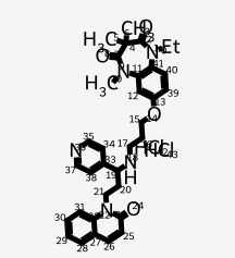 CCN1C(=O)C(C)(C)C(=O)N(C)c2cc(OCCCNC(CCn3c(=O)ccc4ccccc43)c3ccncc3)ccc21.Cl.Cl